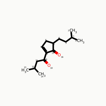 CC(C)CCC1CC=C(C(=O)CC(C)C)C1=O